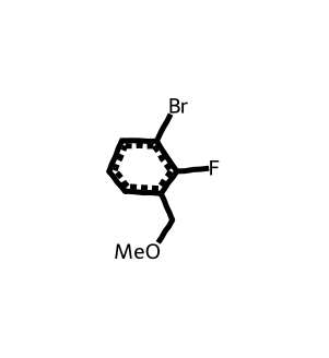 COCc1cccc(Br)c1F